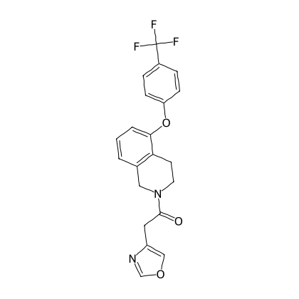 O=C(Cc1cocn1)N1CCc2c(cccc2Oc2ccc(C(F)(F)F)cc2)C1